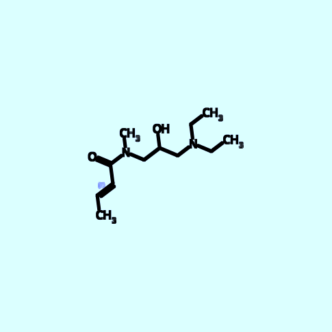 C/C=C/C(=O)N(C)CC(O)CN(CC)CC